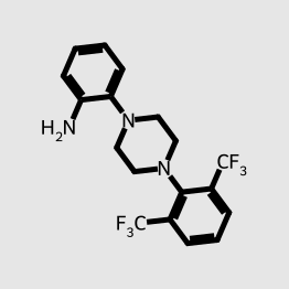 Nc1ccccc1N1CCN(c2c(C(F)(F)F)cccc2C(F)(F)F)CC1